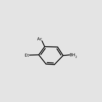 Bc1ccc(CC)c(C(C)=O)c1